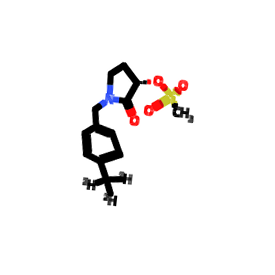 [2H]C([2H])([2H])c1ccc(CN2CC[C@H](OS(C)(=O)=O)C2=O)cc1